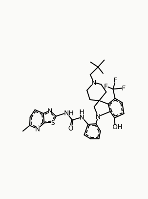 Cc1ccc2nc(NC(=O)Nc3ccccc3N3CC4(CCN(CC(C)(C)C)CC4)c4c(C(F)(F)F)ccc(O)c43)sc2n1